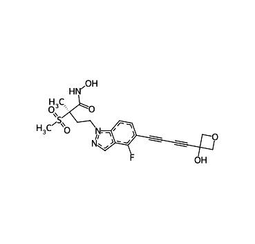 C[C@@](CCn1ncc2c(F)c(C#CC#CC3(O)COC3)ccc21)(C(=O)NO)S(C)(=O)=O